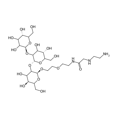 NCCNCC(=O)NCCOCCO[C@H]1OC(CO)[C@@H](O)C(O)C1O[C@H]1OC(CO)[C@@H](O)C(O)C1O[C@@H]1OC(CO)[C@@H](O)C(O)C1O